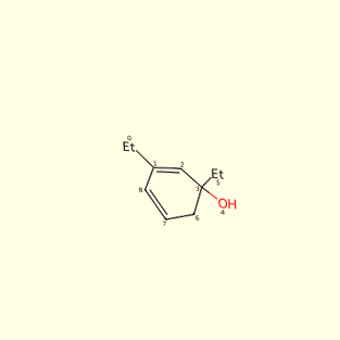 CCC1=CC(O)(CC)CC=C1